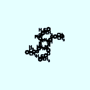 CC(C)(c1ccccc1)c1ccc(Oc2ccc3c(c2)-c2nc-3nc3[nH]c(nc4nc(nc5[nH]c(n2)c2cc(Oc6ccc(C(C)(C)c7ccccc7)cc6)ccc52)-c2ccc(Oc5ccc(C(C)(C)c6ccccc6)cc5)cc2-4)c2cc(Oc4ccc(C(C)(C)c5ccccc5)cc4)ccc32)cc1.[Pb+4]